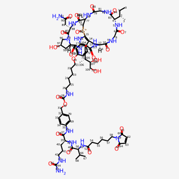 CC[C@H](C)[C@@H]1NC(=O)CNC(=O)[C@@H]2Cc3c([nH]c4cc(OCCCCCCNC(=O)OCc5ccc(NC(=O)[C@H](CCCNC(N)=O)NC(=O)C(NC(=O)CCCCCN6C(=O)C=CC6=O)C(C)C)cc5)ccc34)[S+]([O-])C[C@H](NC(=O)CNC1=O)C(=O)N[C@@H](CC(N)=O)C(=O)N1C[C@H](O)C[C@H]1C(=O)N[C@@H]([C@@H](C)[C@@H](O)CO)C(=O)N2